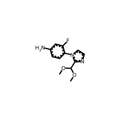 COC(OC)c1nccn1-c1ccc(N)cc1F